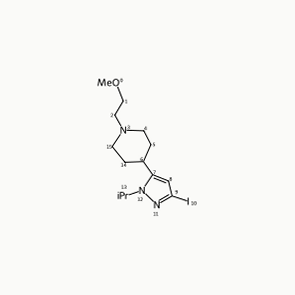 COCCN1CCC(c2cc(I)nn2C(C)C)CC1